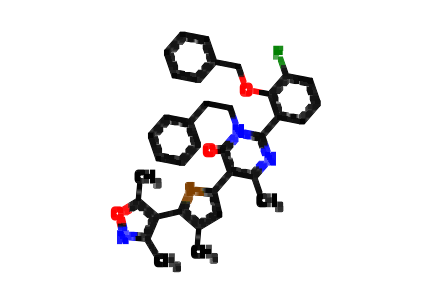 Cc1cc(-c2c(C)nc(-c3cccc(F)c3OCc3ccccc3)n(CCc3ccccc3)c2=O)sc1-c1c(C)noc1C